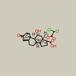 C[C@]12C=CC(=O)C=C1CC[C@@H]1[C@@H]2[C@@H](O)C[C@@]2(C)[C@H]1CC[C@]2(OC(=O)C(Cl)Cl)C(=O)O